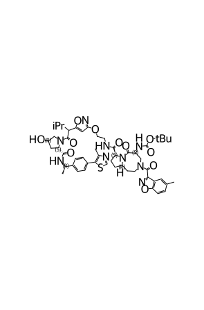 Cc1ccc2onc(C(=O)N3CC[C@H]4CC[C@@H](C(=O)NCCOc5cc(C(C(=O)N6C[C@H](O)C[C@H]6C(=O)N[C@H](C)c6ccc(-c7scnc7C)cc6)C(C)C)on5)N4C(=O)[C@@H](NC(=O)OC(C)(C)C)C3)c2c1